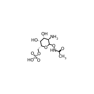 CC(=O)NOC1O[C@H](COS(=O)(=O)O)[C@H](O)[C@H](O)[C@H]1N